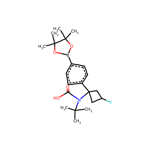 CC(C)(C)N(C(=O)O)C1(c2ccc(B3OC(C)(C)C(C)(C)O3)cc2)CC(F)C1